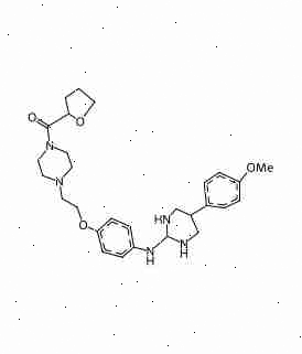 COc1ccc(C2CNC(Nc3ccc(OCCN4CCN(C(=O)C5CCCO5)CC4)cc3)NC2)cc1